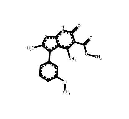 COC(=O)c1c(N)c2c(-c3cccc(OC)c3)c(C)sc2[nH]c1=O